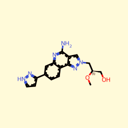 CO[C@H](CO)Cn1cc2c(N)nc3cc(-c4cc[nH]n4)ccc3c2n1